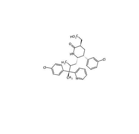 CC(C[C@@H]1NC(=O)[C@@H](CC(=O)O)C[C@@H]1c1cccc(Cl)c1)[C@@](C)(c1ccc(Cl)cc1)c1ccccn1